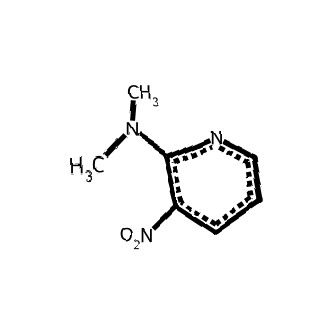 CN(C)c1ncccc1[N+](=O)[O-]